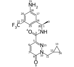 C[C@@H](NC(=O)c1ccc(=O)n(CC2CC2)n1)c1cc(N)cc(C(F)(F)F)c1